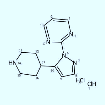 Cl.Cl.c1cnc(-n2nccc2C2CCNCC2)nc1